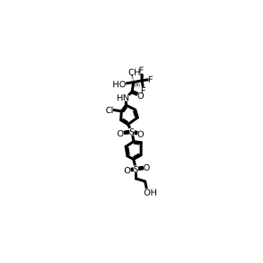 C[C@@](O)(C(=O)Nc1ccc(S(=O)(=O)c2ccc(S(=O)(=O)CCO)cc2)cc1Cl)C(F)(F)F